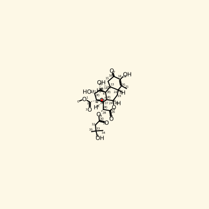 COC(=O)[C@@]12OC[C@]34[C@H]([C@@H](O)[C@H]1O)[C@@]1(C)CC(=O)C(O)=C(C)[C@@H]1C[C@H]3OC(=O)[C@H](OC(=O)CC(C)(C)O)[C@@H]24